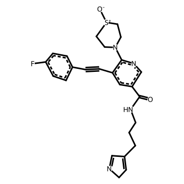 O=C(NCCCC1=CCN=C1)c1cnc(N2CC[S+]([O-])CC2)c(C#Cc2ccc(F)cc2)c1